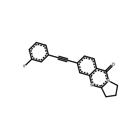 O=c1c2ccc(C#Cc3cccc(F)c3)cc2nc2n1CCC2